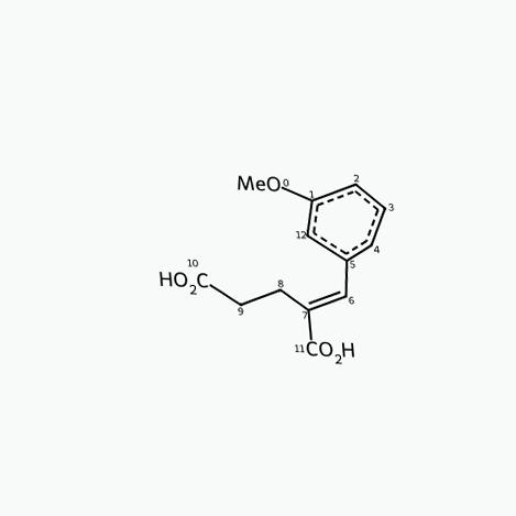 COc1cccc(C=C(CCC(=O)O)C(=O)O)c1